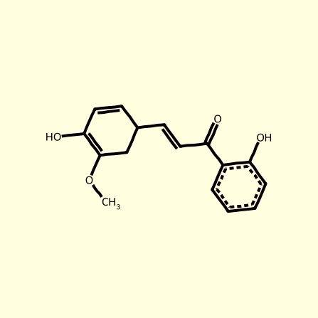 COC1=C(O)C=CC(C=CC(=O)c2ccccc2O)C1